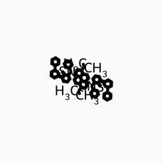 CC(C)c1cc(N(c2ccccc2)c2cccc3c2sc2c(-c4ccccc4)cccc23)c2ccc3c(C(C)C)cc(N(c4ccccc4)c4cccc5c4sc4c(-c6ccccc6)cccc45)c4ccc1c2c34